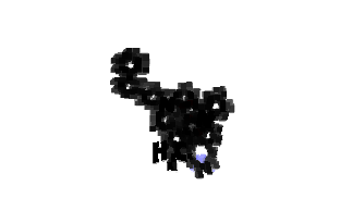 C=C1/C=C\C=C/Cc2ccc(-n3c4ccccc4c4ccc(-c5ccccc5N(c5ccccc5)c5ccc(-c6cccc(-c7ccccc7)c6)cc5)cc43)cc2C1(c1ccccc1)c1ccccc1